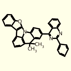 CC1(C)c2cc(-c3nc(-c4ccccc4)nc4ccccc34)ccc2-n2c3oc4ccccc4c3c3cccc1c32